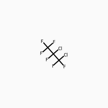 FC(F)(F)C(F)(Cl)C(F)(Cl)I